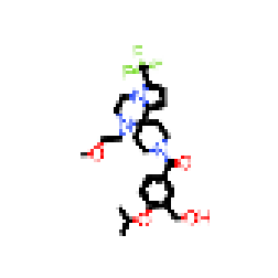 COCCN1CCn2c(C(F)(F)F)ccc2C12CCN(C(=O)c1ccc(OC(C)C)c(CO)c1)CC2